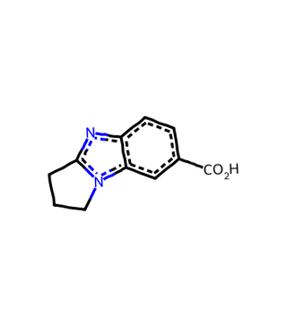 O=C(O)c1ccc2nc3n(c2c1)CCC3